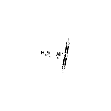 [AlH3].[O]=[Ti]=[O].[SiH4]